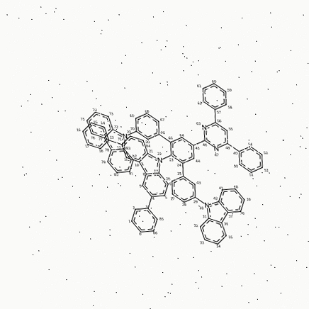 c1ccc(-c2ccc3c(c2)c2cc(-c4ccccc4)ccc2n3-c2c(-c3cccc(-n4c5ccccc5c5ccccc54)c3)cc(-c3nc(-c4ccccc4)cc(-c4ccccc4)n3)cc2-c2cccc(-n3c4ccccc4c4ccccc43)c2)cc1